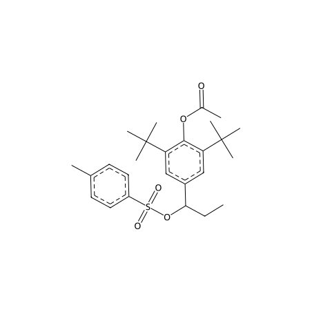 CCC(OS(=O)(=O)c1ccc(C)cc1)c1cc(C(C)(C)C)c(OC(C)=O)c(C(C)(C)C)c1